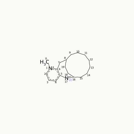 C[n+]1cccc2c1CC1CCCCCCC/C(=N/2)CC1